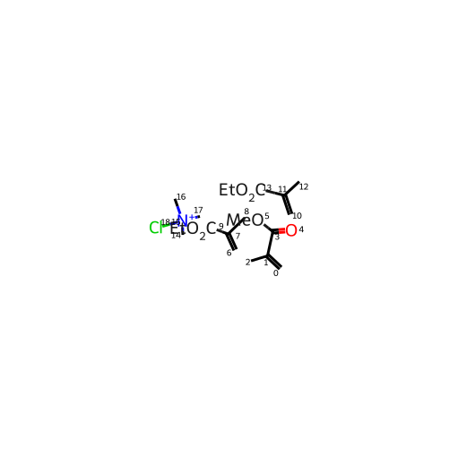 C=C(C)C(=O)OC.C=C(C)C(=O)OCC.C=C(C)C(=O)OCC.C[N+](C)(C)Cl